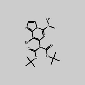 C[S+]([O-])c1nc(N(C(=O)OC(C)(C)C)C(=O)OC(C)(C)C)c(Br)c2nccn12